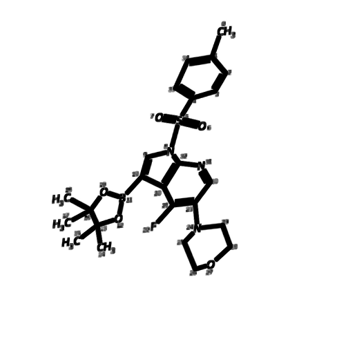 Cc1ccc(S(=O)(=O)n2cc(B3OC(C)(C)C(C)(C)O3)c3c(F)c(N4CCOCC4)cnc32)cc1